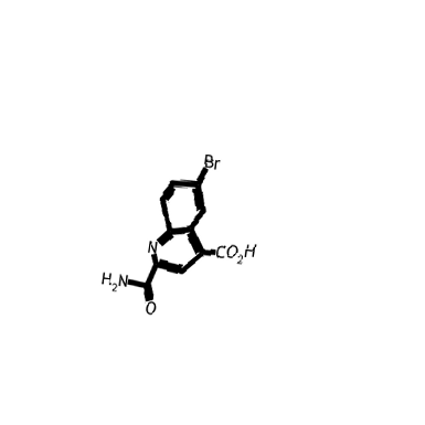 NC(=O)c1cc(C(=O)O)c2cc(Br)ccc2n1